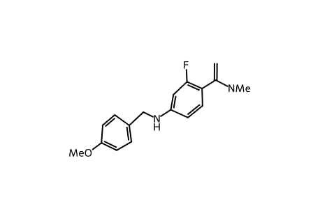 C=C(NC)c1ccc(NCc2ccc(OC)cc2)cc1F